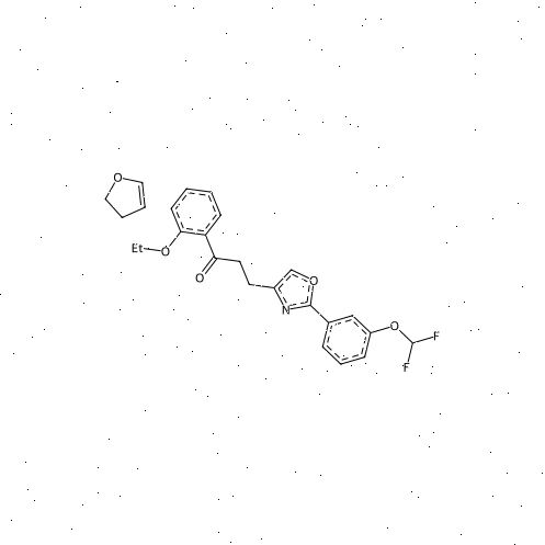 C1=COCC1.CCOc1ccccc1C(=O)CCc1coc(-c2cccc(OC(F)F)c2)n1